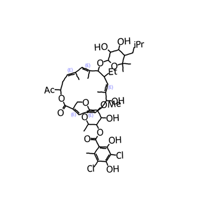 CCC1/C=C(\C)C(O)C/C=C/C=C(\COC2OC(C)C(OC(=O)c3c(C)c(Cl)c(O)c(Cl)c3O)C(O)C2OC)C(=O)OC(C(C)=O)C/C=C(C)/C=C(\C)C1OC1OC(C)(C)C(CC(C)C)C(O)C1O